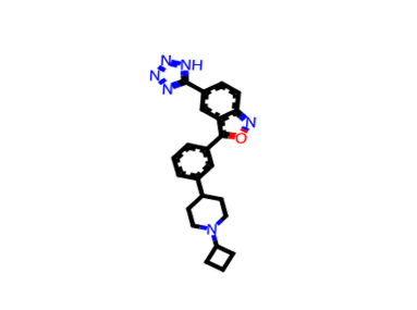 c1cc(-c2onc3ccc(-c4nnn[nH]4)cc23)cc(C2CCN(C3CCC3)CC2)c1